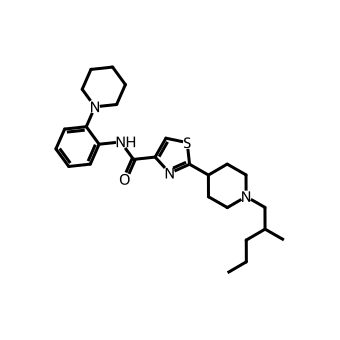 CCCC(C)CN1CCC(c2nc(C(=O)Nc3ccccc3N3CCCCC3)cs2)CC1